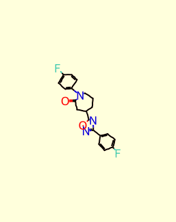 O=C1CC(c2nc(-c3ccc(F)cc3)no2)CCCN1c1ccc(F)cc1